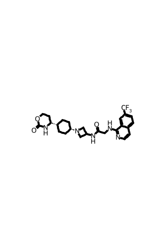 O=C(CNc1nccc2ccc(C(F)(F)F)cc12)NC1CN([C@H]2CC[C@@H](C3CCOC(=O)N3)CC2)C1